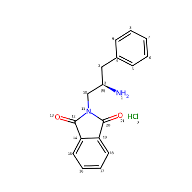 Cl.N[C@H](Cc1ccccc1)CN1C(=O)c2ccccc2C1=O